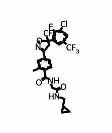 Cc1cc(C2=NOC(c3cc(C(F)(F)F)cc(Cl)c3F)(C(F)(F)F)C2)ccc1C(=O)NCC(=O)NCC1CC1